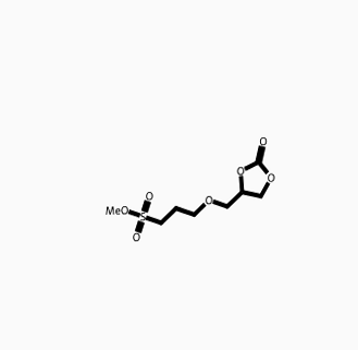 COS(=O)(=O)CCCOCC1COC(=O)O1